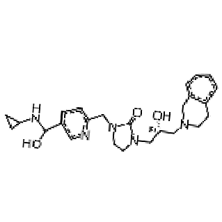 O=C1N(Cc2ccc(C(O)NC3CC3)cn2)CCN1C[C@H](O)CN1CCc2ccccc2C1